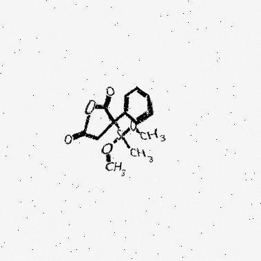 CO[Si](C)(OC)C1(c2ccccc2)CC(=O)OC1=O